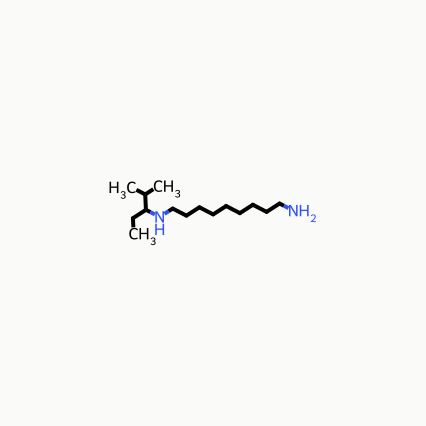 CCC(NCCCCCCCCCN)C(C)C